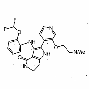 CNCCOc1cnccc1-c1[nH]c2c(c1Nc1ccccc1OC(F)F)C(=O)NCC2